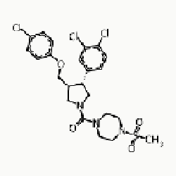 CS(=O)(=O)N1CCN(C(=O)N2C[C@@H](COc3ccc(Cl)cc3)[C@H](c3ccc(Cl)c(Cl)c3)C2)CC1